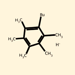 Cc1c(C)c(C)[c]([Ru])c(C)c1C.[H-]